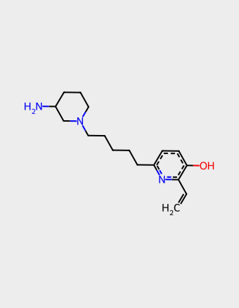 C=Cc1nc(CCCCCN2CCCC(N)C2)ccc1O